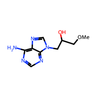 COCC(O)Cn1cnc2c(N)ncnc21